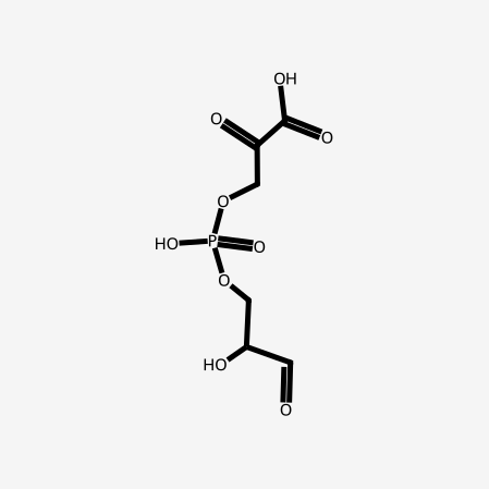 O=CC(O)COP(=O)(O)OCC(=O)C(=O)O